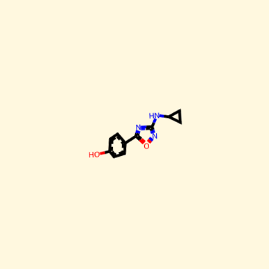 Oc1ccc(-c2nc(NC3CC3)no2)cc1